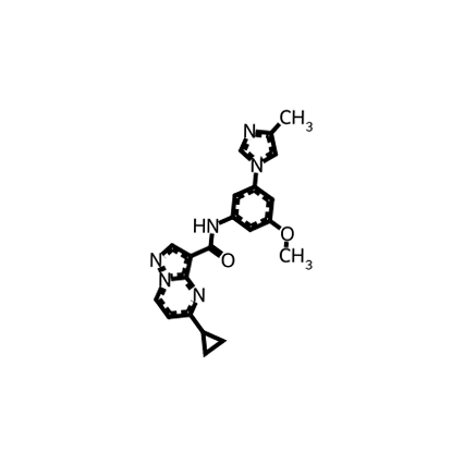 COc1cc(NC(=O)c2cnn3ccc(C4CC4)nc23)cc(-n2cnc(C)c2)c1